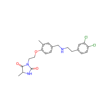 Cc1cc(CNCCc2ccc(Cl)c(Cl)c2)ccc1OCCN1C(=O)NC(C)C1=O